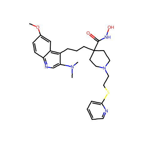 COc1ccc2ncc(N(C)C)c(CCCC3(C(=O)NO)CCN(CCSc4ccccn4)CC3)c2c1